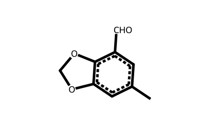 Cc1cc(C=O)c2c(c1)OCO2